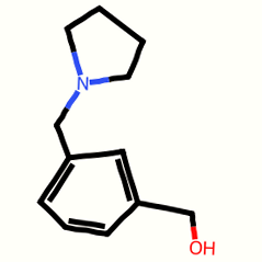 OCc1cccc(CN2CCCC2)c1